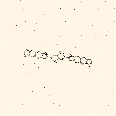 c1cc2cc3cc4sc(-c5cnc6cc(-c7cc8cc9cc%10sccc%10cc9cc8s7)cnc6c5)cc4cc3cc2s1